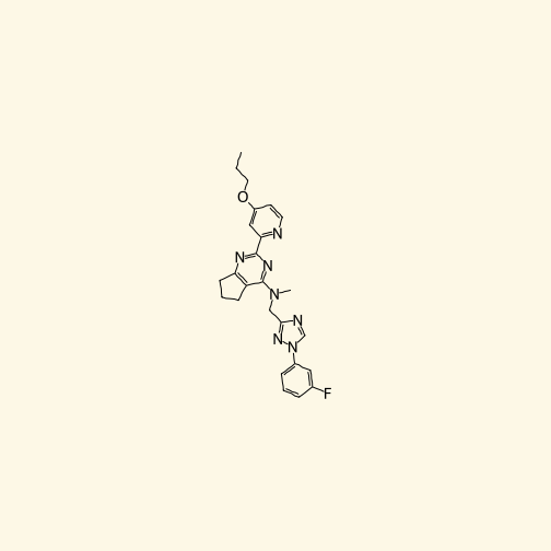 CCCOc1ccnc(-c2nc3c(c(N(C)Cc4ncn(-c5cccc(F)c5)n4)n2)CCC3)c1